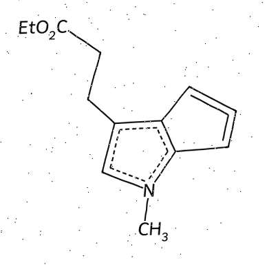 CCOC(=O)CCc1cn(C)c2c1C=C=C2